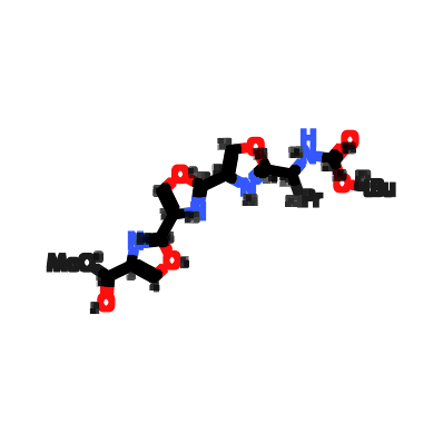 COC(=O)c1coc(-c2coc(-c3coc(C(NC(=O)OC(C)(C)C)C(C)C)n3)n2)n1